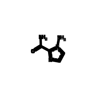 NC(=O)c1nccn1N